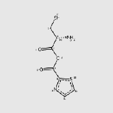 N[C@@H](CS)C(=O)OC(=O)c1nccs1